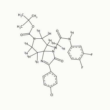 [2H]N(C(=O)C([2H])([2H])N1C(=O)C(c2ccc(Cl)cc2)=NC12C([2H])([2H])C([2H])([2H])N(C(=O)OC(C)(C)C)C([2H])([2H])C2([2H])[2H])c1ccc(F)c(F)c1